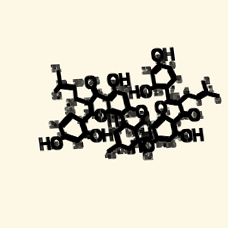 CC(C)=CCc1c(-c2ccc(O)cc2O)oc2c([C@H]3Oc4cc(O)c5c(=O)c(CC=C(C)C)c(-c6ccc(O)cc6O)oc5c4[C@@H]4C=C(C)CC(C)(C)[C@H]34)c(O)cc(O)c2c1=O